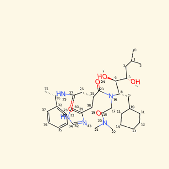 CC(C)C[C@H](O)[C@H](O)[C@H](CC1CCCCC1)N(CC(=O)N(C)C)C(=O)[C@@H](CC(=O)N[C@@H](C)c1ccccc1)Cc1c[nH]cn1